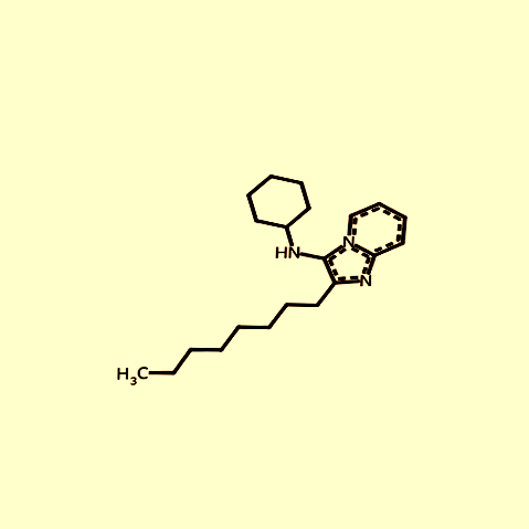 CCCCCCCCc1nc2ccccn2c1NC1CCCCC1